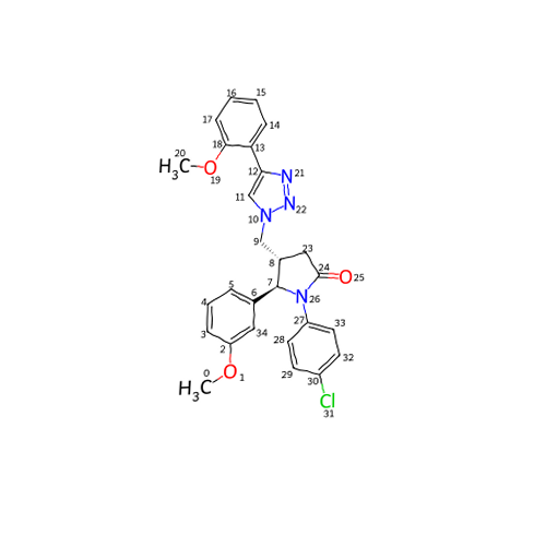 COc1cccc([C@H]2[C@H](Cn3cc(-c4ccccc4OC)nn3)CC(=O)N2c2ccc(Cl)cc2)c1